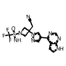 N#CCC1(n2cc(-c3ncnc4[nH]ccc34)cn2)CN(S(=N)(=O)C(F)(F)F)C1